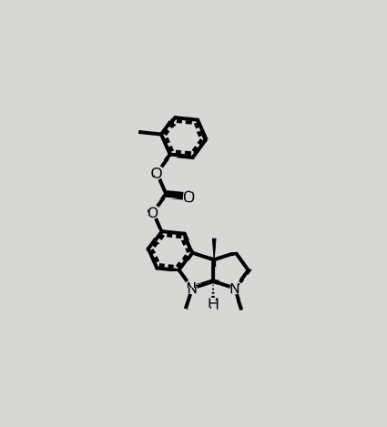 Cc1ccccc1OC(=O)Oc1ccc2c(c1)[C@]1(C)CCN(C)[C@H]1N2C